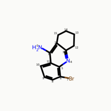 Nc1c2c(nc3c(Br)cccc13)CCCC2